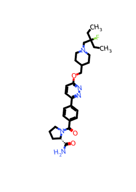 CCC(F)(CC)CN1CCC(COc2ccc(-c3ccc(C(=O)N4CCC[C@H]4C(N)=O)cc3)nn2)CC1